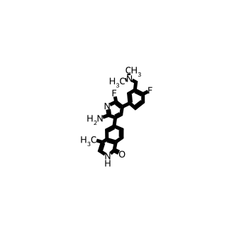 Cc1c[nH]c(=O)c2ccc(-c3cc(-c4ccc(F)c(CN(C)C)c4)c(F)nc3N)cc12